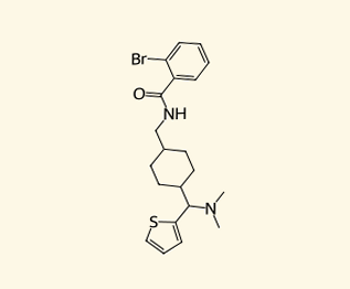 CN(C)C(c1cccs1)C1CCC(CNC(=O)c2ccccc2Br)CC1